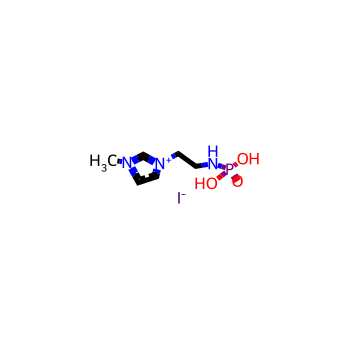 Cn1cc[n+](CCNP(=O)(O)O)c1.[I-]